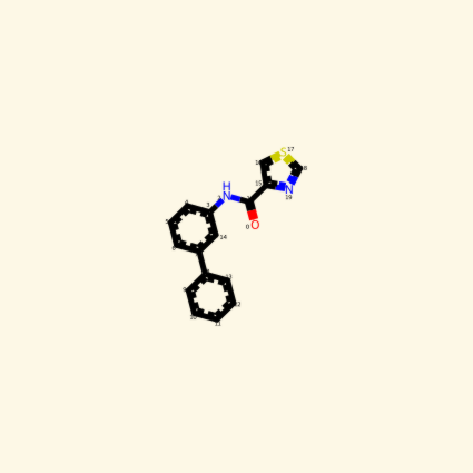 O=C(Nc1cccc(-c2ccccc2)c1)c1cscn1